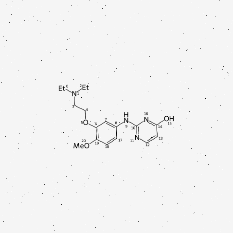 CCN(CC)CCOc1cc(Nc2nccc(O)n2)ccc1OC